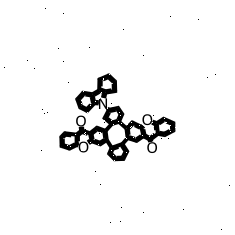 O=c1c2ccccc2oc2cc3c(cc12)-c1ccccc1-c1cc2oc4ccccc4c(=O)c2cc1-c1cc(-n2c4ccccc4c4ccccc42)ccc1-3